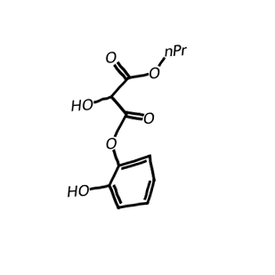 CCCOC(=O)C(O)C(=O)Oc1ccccc1O